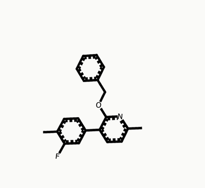 Cc1ccc(-c2ccc(C)c(F)c2)c(OCc2ccccc2)n1